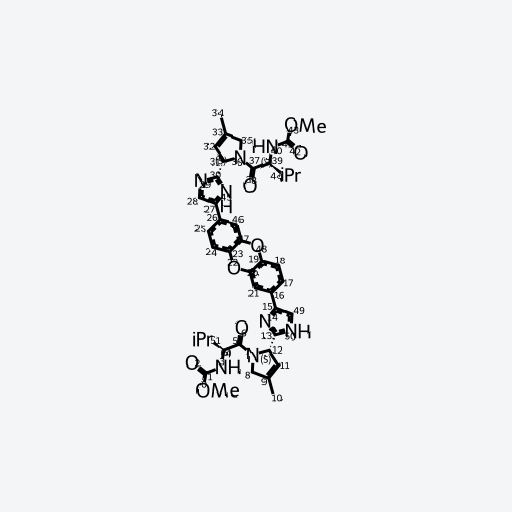 COC(=O)N[C@H](C(=O)N1CC(C)=C[C@H]1c1nc(-c2ccc3c(c2)Oc2ccc(-c4cnc([C@@H]5C=C(C)CN5C(=O)[C@@H](NC(=O)OC)C(C)C)[nH]4)cc2O3)c[nH]1)C(C)C